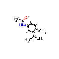 CC(=O)Nc1ccc(C)c(C(C)C)c1